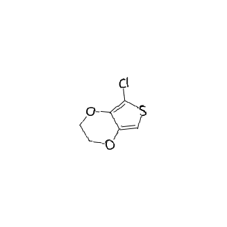 Clc1scc2c1OCCO2